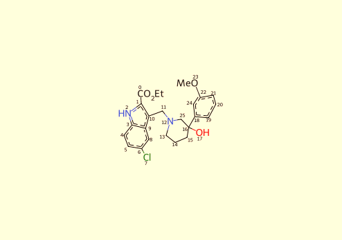 CCOC(=O)c1[nH]c2ccc(Cl)cc2c1CN1CCCC(O)(c2cccc(OC)c2)C1